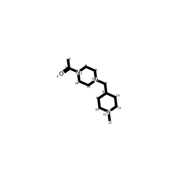 CC(=O)N1CCN(CC2CCN(C)CC2)CC1